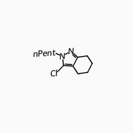 CCCCCn1nc2c(c1Cl)CCCC2